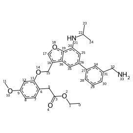 CCOC(=O)Cc1ccc(OC)cc1OCc1coc2c(NC(C)C)cc(-c3cccc(CN)c3)cc12